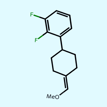 COC=C1CCC(c2cccc(F)c2F)CC1